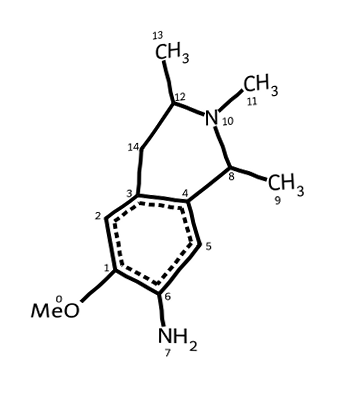 COc1cc2c(cc1N)C(C)N(C)C(C)C2